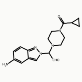 Nc1ccc2nn(C(C=O)N3CCN(C(=O)C4CC4)CC3)cc2c1